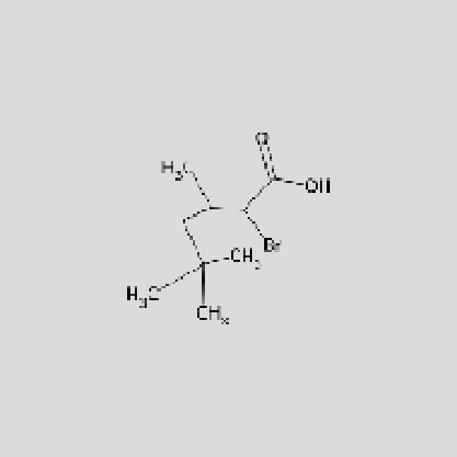 CC(CC(C)(C)C)C(Br)C(=O)O